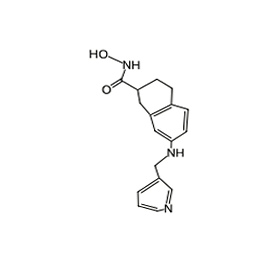 O=C(NO)C1CCc2ccc(NCc3cccnc3)cc2C1